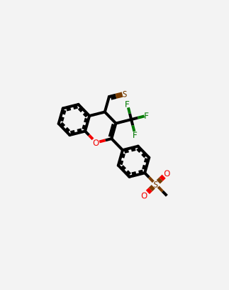 CS(=O)(=O)c1ccc(C2=C(C(F)(F)F)C(C=S)c3ccccc3O2)cc1